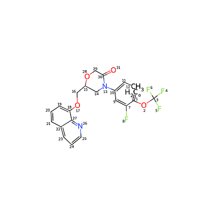 C=C(OC(F)(F)F)/C(F)=C\C(=C/C)N1CC(COc2cccc3cccnc23)OCC1=O